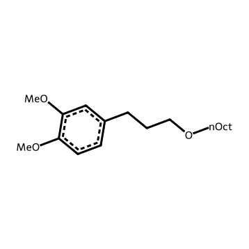 CCCCCCCCOCCCc1ccc(OC)c(OC)c1